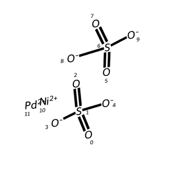 O=S(=O)([O-])[O-].O=S(=O)([O-])[O-].[Ni+2].[Pd+2]